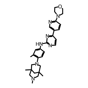 Cc1cc(Nc2nccc(-c3ccc(N4CCOCC4)nc3)n2)ccc1N1CC2(C)CN(C)CC(C)(C1)C2